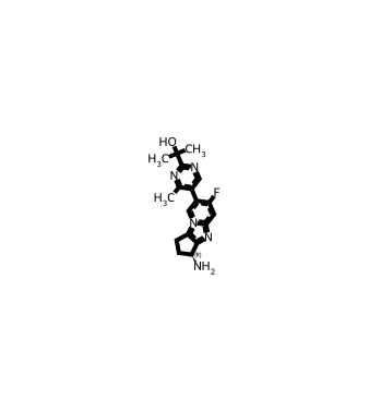 Cc1nc(C(C)(C)O)ncc1-c1cn2c3c(nc2cc1F)[C@H](N)CC3